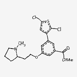 COC(=O)c1cc(OCCC2CCCN2C)cc(-c2cc(Cl)sc2Cl)c1